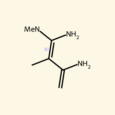 C=C(N)/C(C)=C(\N)NC